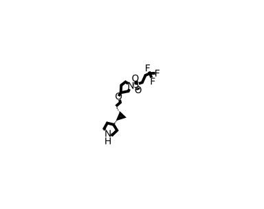 O=S(=O)(CCC(F)(F)F)N1CCC(OCC[C@@H]2C[C@@H]2C2CCNCC2)C1